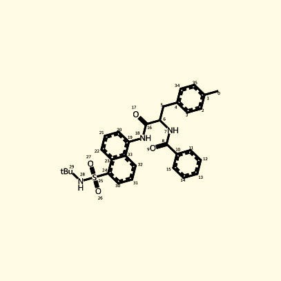 Cc1ccc(CC(NC(=O)c2ccccc2)C(=O)Nc2cccc3c(S(=O)(=O)NC(C)(C)C)cccc23)cc1